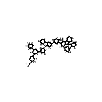 CC1C=CC(C2=CC(c3cccc(-n4c5ccccc5c5cc(-c6ccc7[nH]c8c9c(ccc8c7c6)C6(c7ccccc7-c7ccccc76)c6ccccc6-9)ccc54)c3)=CC(c3ccccc3)C2)=CC1